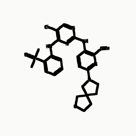 COc1nc(N2CCC3(CCOC3)C2)ccc1Nc1ncc(Cl)c(Nc2ccccc2P(C)(C)=O)n1